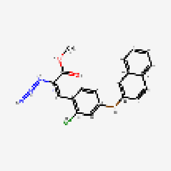 COC(=O)/C(=C\c1ccc(Sc2ccc3ccccc3c2)cc1Br)N=[N+]=[N-]